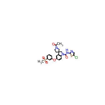 CC(=O)N1CCC2(C1)CN(C(=O)Nc1ncc(Cl)s1)c1ccc(Oc3cccc(S(C)(=O)=O)c3)cc12